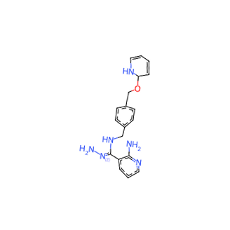 N/N=C(\NCc1ccc(COC2C=CC=CN2)cc1)c1cccnc1N